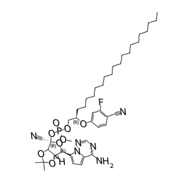 CCCCCCCCCCCCCCCCCCC[C@H](COP(=O)(OC)O[C@@]1(C#N)O[C@@H](c2ccc3c(N)ncnn23)[C@@H]2OC(C)(C)OC21)Oc1ccc(C#N)c(F)c1